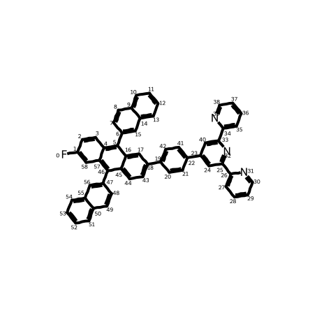 Fc1ccc2c(-c3ccc4ccccc4c3)c3cc(-c4ccc(-c5cc(-c6ccccn6)nc(-c6ccccn6)c5)cc4)ccc3c(-c3ccc4ccccc4c3)c2c1